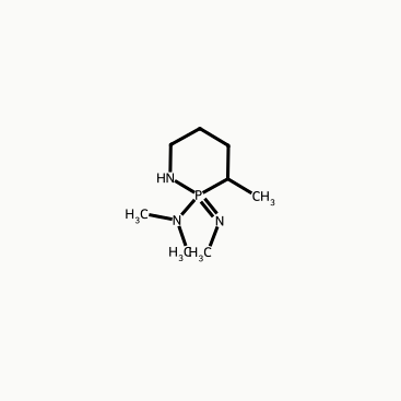 CN=P1(N(C)C)NCCCC1C